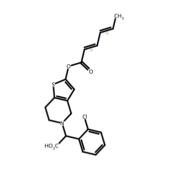 C/C=C/C=C/C(=O)Oc1cc2c(s1)CCN(C(C(=O)O)c1ccccc1Cl)C2